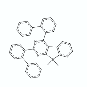 C[Si]1(C)c2ccccc2-c2c(-c3ccccc3-c3ccccc3)nc(-c3ccccc3-c3ccccc3)nc21